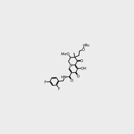 CCCCOCCC1(C)C(=O)c2c(O)c(=O)c(C(=O)NCc3ccc(F)cc3F)cn2CC1OC